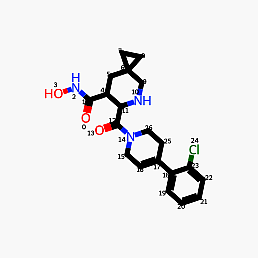 O=C(NO)C1CC2(CC2)CNC1C(=O)N1CC=C(c2ccccc2Cl)CC1